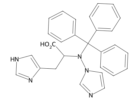 O=C(O)C(Cc1c[nH]cn1)N(n1ccnc1)C(c1ccccc1)(c1ccccc1)c1ccccc1